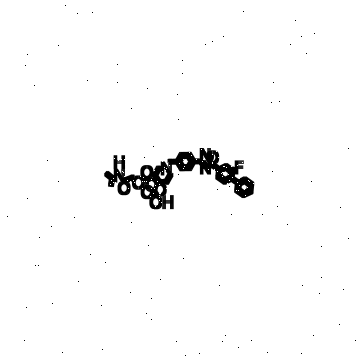 CC(C)NC(=O)COC(=O)OC1(OC(=O)O)CCN(Cc2ccc(-c3noc(-c4ccc(-c5ccccc5)c(F)c4)n3)cc2)CC1